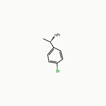 CCC[C@H](C)c1ccc(Br)cc1